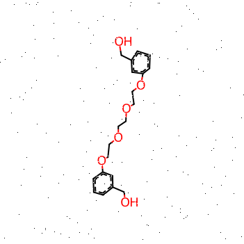 OCc1cccc(OCCOCCOCCOc2cccc(CO)c2)c1